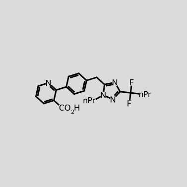 CCCn1nc(C(F)(F)CCC)nc1Cc1ccc(-c2ncccc2C(=O)O)cc1